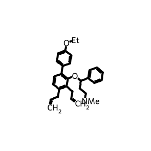 C=CCc1ccc(-c2ccc(OCC)cc2)c(OC(CCNC)c2ccccc2)c1CC=C